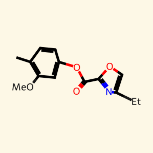 CCc1coc(C(=O)Oc2ccc(C)c(OC)c2)n1